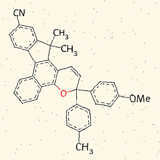 COc1ccc(C2(c3ccc(C)cc3)C=Cc3c4c(c5ccccc5c3O2)-c2ccc(C#N)cc2C4(C)C)cc1